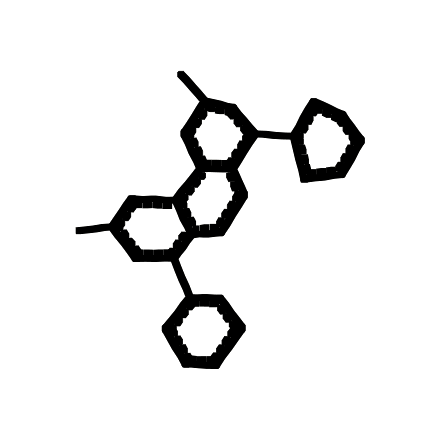 Cc1cc(-c2ccccc2)c2ccc3c(-c4ccccc4)cc(C)cc3c2c1